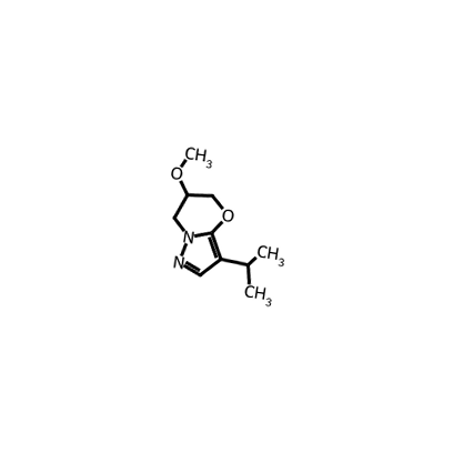 COC1COc2c(C(C)C)cnn2C1